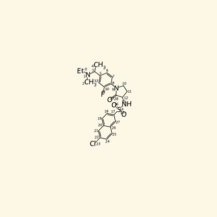 CCN(C)C(C)c1ccc(N2CCC(NS(=O)(=O)c3ccc4cc(Cl)ccc4c3)C2=O)c(F)c1